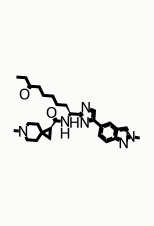 CCC(=O)CCCCC[C@H](NC(=O)[C@H]1CC12CCN(C)CC2)c1ncc(-c2ccc3nn(C)cc3c2)[nH]1